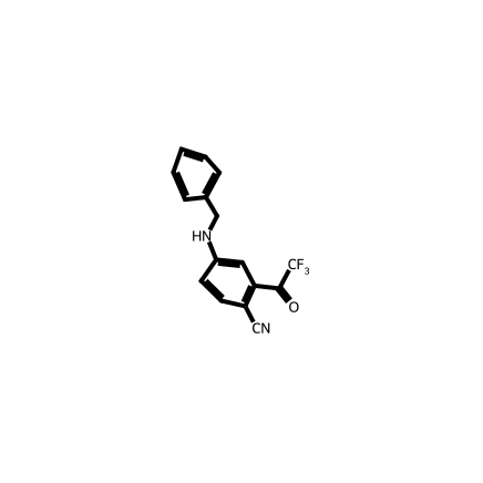 N#Cc1ccc(NCc2ccccc2)cc1C(=O)C(F)(F)F